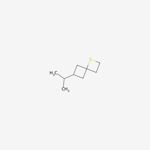 CC(C)C1CC2(CCS2)C1